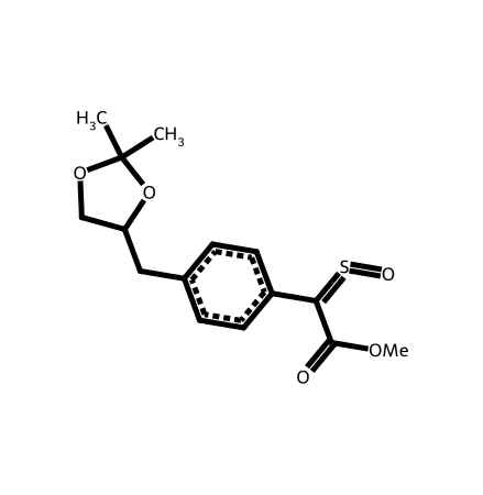 COC(=O)C(=S=O)c1ccc(CC2COC(C)(C)O2)cc1